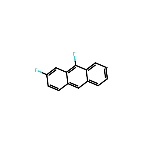 Fc1[c]cc2cc3cc[c]cc3c(F)c2c1